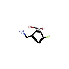 NCc1[c]cc(F)cc1.[Br][Mg][Br]